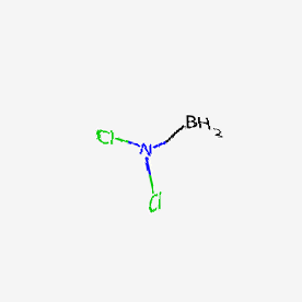 BN(Cl)Cl